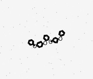 c1ccc(Oc2ccc(Oc3ccccc3Oc3ccc(Oc4ccccc4)cc3)cc2)cc1